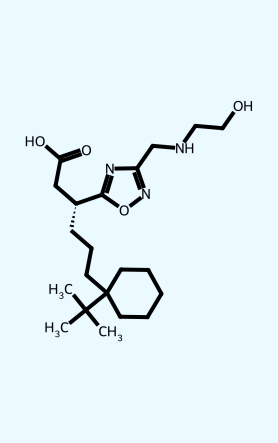 CC(C)(C)C1(CCC[C@H](CC(=O)O)c2nc(CNCCO)no2)CCCCC1